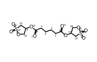 O=C(CCCCC(=O)OC1COS(=O)(=O)C1)OC1COS(=O)(=O)C1